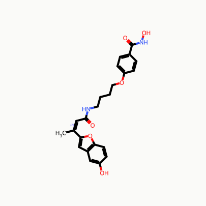 C/C(=C/C(=O)NCCCCOc1ccc(C(=O)NO)cc1)c1cc2cc(O)ccc2o1